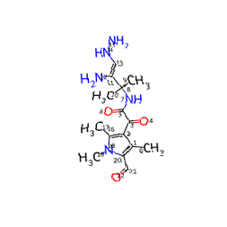 Cc1c(C(=O)C(=O)NC(C)(C)/C(N)=C/NN)c(C)n(C)c1C=O